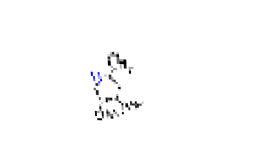 COc1cnc(C)cc1OC